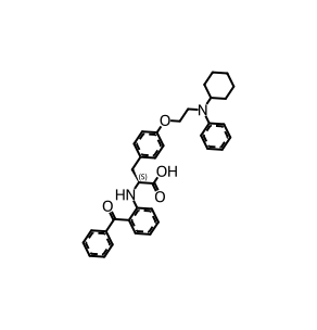 O=C(c1ccccc1)c1ccccc1N[C@@H](Cc1ccc(OCCN(c2ccccc2)C2CCCCC2)cc1)C(=O)O